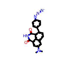 CN(C)c1cc2c3c(c(-c4ccc(N=[N+]=[N-])cc4)ccc3c1)C(=O)NC2=O